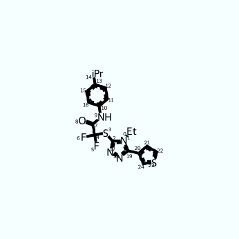 CCn1c(SC(F)(F)C(=O)Nc2ccc(C(C)C)cc2)nnc1-c1ccsc1